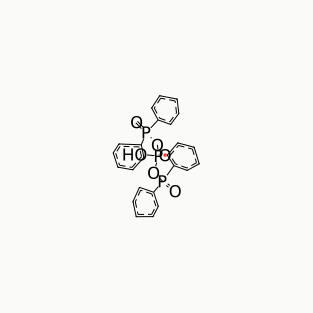 O=P(O)(OP(=O)(c1ccccc1)c1ccccc1)OP(=O)(c1ccccc1)c1ccccc1